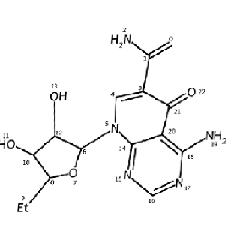 C=C(N)c1cn(C2OC(CC)C(O)C2O)c2ncnc(N)c2c1=O